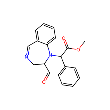 COC(=O)C(c1ccccc1)N1c2ccccc2C=NCC1C=O